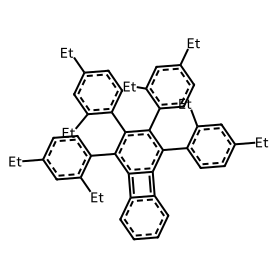 CCc1ccc(-c2c(-c3ccc(CC)cc3CC)c(-c3ccc(CC)cc3CC)c3c(c2-c2ccc(CC)cc2CC)=c2ccccc2=3)c(CC)c1